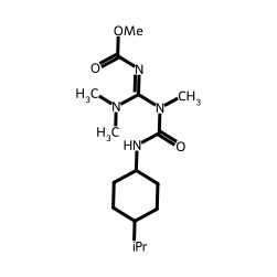 COC(=O)N=C(N(C)C)N(C)C(=O)NC1CCC(C(C)C)CC1